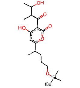 CC(CCCO[Si](C)(C)C(C)(C)C)c1cc(O)c(C(=O)C(C)C(C)O)c(=O)o1